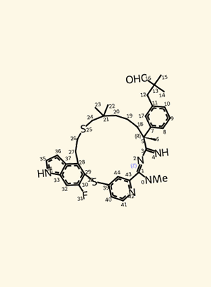 CN/C1=N\C(=N)[C@@](C)(c2cccc(CC(C)(C)C=O)c2)CCCC(C)(C)CSCCc2c(c(F)cc3[nH]ccc23)Sc2ccnc1c2